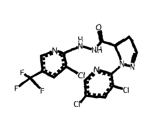 O=C(NNc1ncc(C(F)(F)F)cc1Cl)C1CC=NN1c1ncc(Cl)cc1Cl